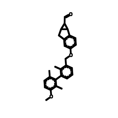 COc1ccc(C)c(-c2cccc(COc3ccc4c(c3)CC3C(C=O)C43)c2C)c1C